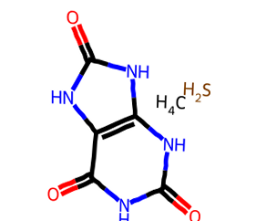 C.O=c1[nH]c(=O)c2[nH]c(=O)[nH]c2[nH]1.S